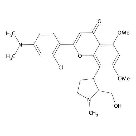 COc1cc(OC)c2c(=O)cc(-c3ccc(N(C)C)cc3Cl)oc2c1C1CCN(C)C1CO